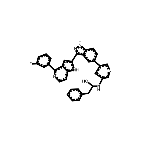 OC(Cc1ccccc1)Nc1cncc(-c2ccc3[nH]nc(-c4cc5c(-c6cccc(F)c6)nccc5[nH]4)c3c2)c1